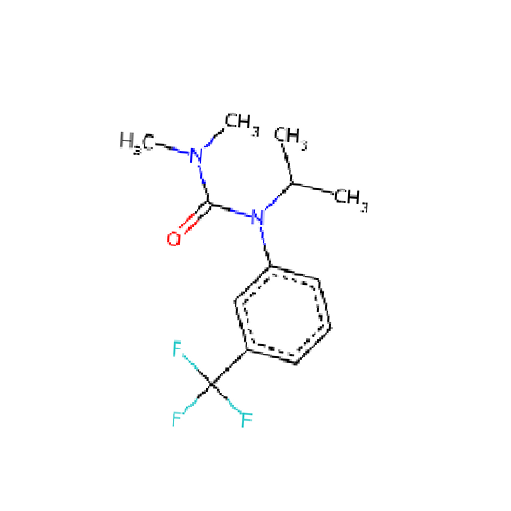 CC(C)N(C(=O)N(C)C)c1cccc(C(F)(F)F)c1